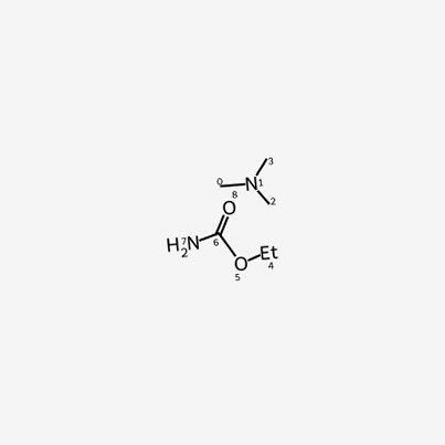 CN(C)C.[CH2]COC(N)=O